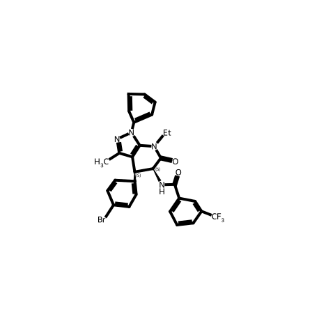 CCN1C(=O)[C@@H](NC(=O)c2cccc(C(F)(F)F)c2)[C@@H](c2ccc(Br)cc2)c2c(C)nn(-c3ccccc3)c21